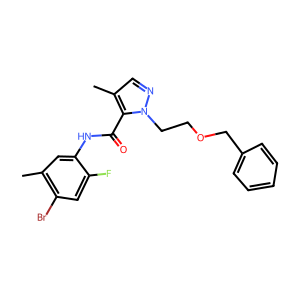 Cc1cc(NC(=O)c2c(C)cnn2CCOCc2ccccc2)c(F)cc1Br